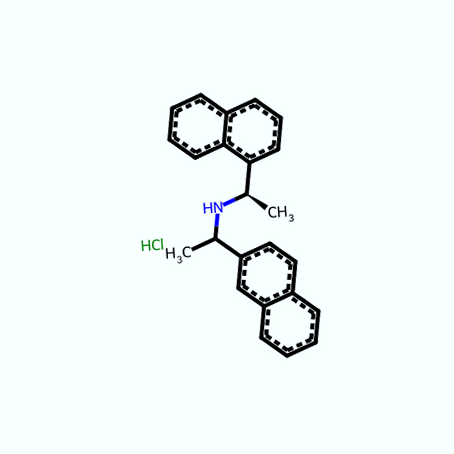 CC(N[C@H](C)c1cccc2ccccc12)c1ccc2ccccc2c1.Cl